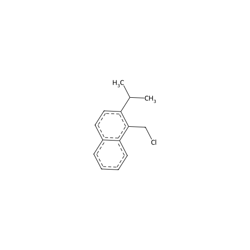 CC(C)c1ccc2ccccc2c1CCl